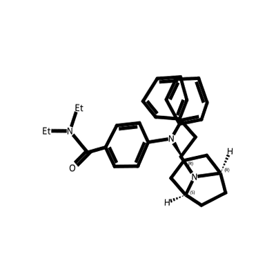 CCN(CC)C(=O)c1ccc(N(c2ccccc2)[C@H]2C[C@H]3CC[C@@H](C2)N3CCc2ccccc2)cc1